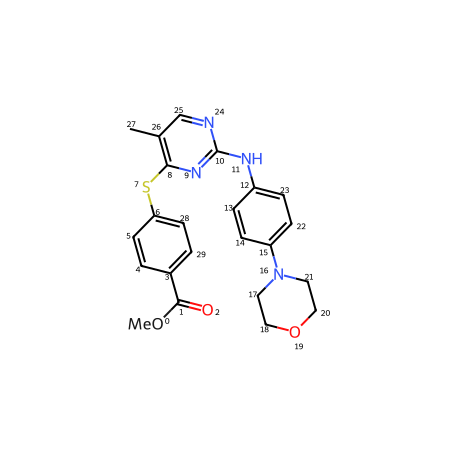 COC(=O)c1ccc(Sc2nc(Nc3ccc(N4CCOCC4)cc3)ncc2C)cc1